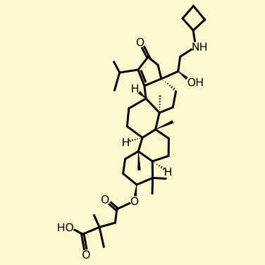 CC(C)C1=C2[C@H]3CC[C@@H]4[C@@]5(C)CC[C@H](OC(=O)CC(C)(C)C(=O)O)C(C)(C)[C@@H]5CC[C@@]4(C)[C@]3(C)CC[C@@]2([C@H](O)CNC2CCC2)CC1=O